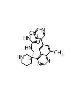 CNC(=O)NC[C@]1(c2ncnc3c(C)cc(-c4cccnc4)cc23)CCCNC1